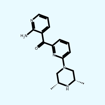 C[C@@H]1CN(c2cccc(C(=O)c3cccnc3N)n2)C[C@H](C)N1